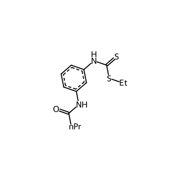 CCCC(=O)Nc1cccc(NC(=S)SCC)c1